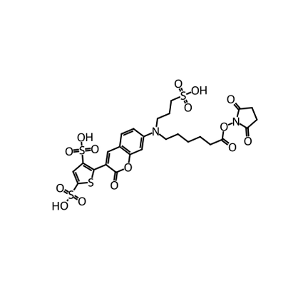 O=C(CCCCCN(CCCS(=O)(=O)O)c1ccc2cc(-c3sc(S(=O)(=O)O)cc3S(=O)(=O)O)c(=O)oc2c1)ON1C(=O)CCC1=O